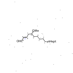 CCCCCCCCCCCCC(C/C=C/C=O)OC